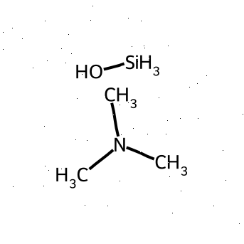 CN(C)C.O[SiH3]